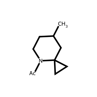 CC(=O)N1CCC(C)CC12CC2